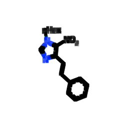 CCCCCCn1cnc(C=Cc2ccccc2)c1[N+](=O)[O-]